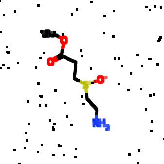 CC(C)(C)OC(=O)CC[S+]([O-])CCN